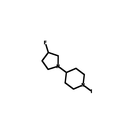 FC1CCN(C2CCN(I)CC2)C1